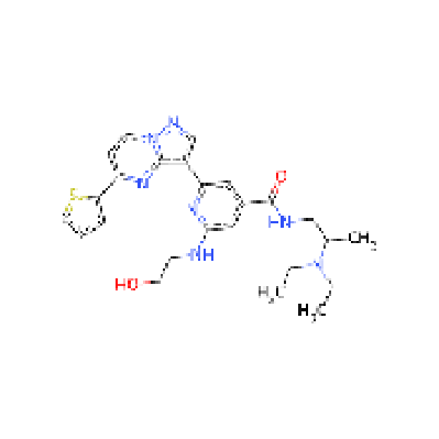 CCN(CC)C(C)CNC(=O)c1cc(NCCO)nc(-c2cnn3ccc(-c4cccs4)nc23)c1